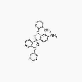 Nc1ccc(S(=O)(=O)c2ccccc2Oc2ccccc2)c(Oc2ccccc2)c1N